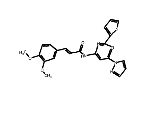 COc1ccc(C=CC(=O)Nc2cc(-n3cccn3)nc(-c3cccs3)n2)cc1OC